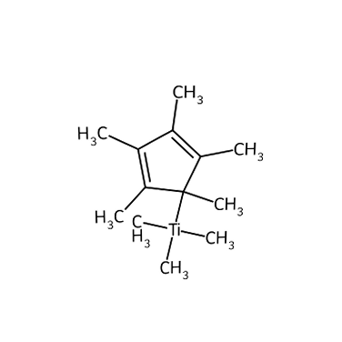 CC1=C(C)[C](C)([Ti]([CH3])([CH3])[CH3])C(C)=C1C